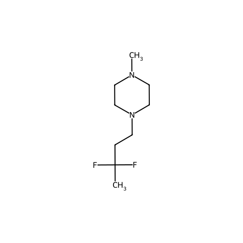 CN1CCN(CCC(C)(F)F)CC1